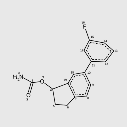 NC(=O)OC1CCc2ccc(-c3cccc(F)c3)cc21